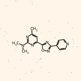 Cc1cc(-c2nc(-c3ccncc3)no2)nc(N(C)C)n1